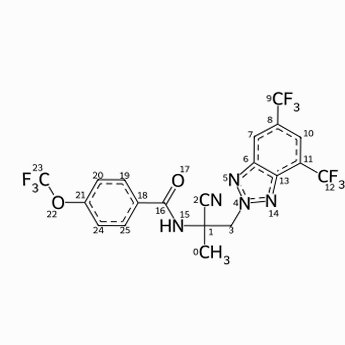 CC(C#N)(Cn1nc2cc(C(F)(F)F)cc(C(F)(F)F)c2n1)NC(=O)c1ccc(OC(F)(F)F)cc1